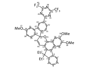 CCC1(CC)c2ccccc2-c2c1c1c(c3cc(OC)c(OC)cc23)OC(c2ccc(OC)cc2)(c2ccc(-c3nc(C(F)(F)F)nc(C(F)(F)F)n3)cc2)C=C1